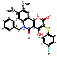 COc1cc2c3oc(=O)c(Sc4ccc(F)cc4)c(O)c3c(=O)n(Cc3ccccc3)c2cc1OC